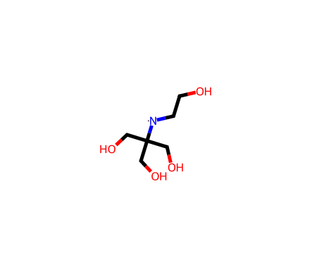 OCC[N]C(CO)(CO)CO